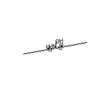 CCCCCCCCCCCCCCCC(=O)OCCC(CCOC(=O)CCCCCCCCCCCCCCC)NCCO